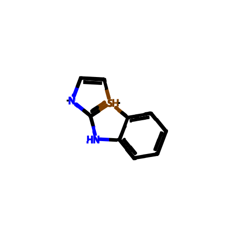 C1=C[SH]2=C([N]1)Nc1ccccc12